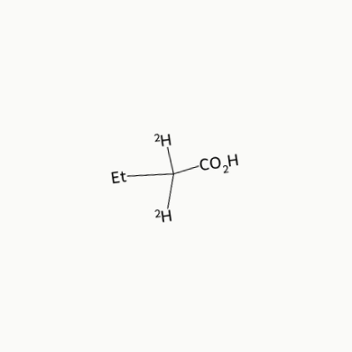 [2H]C([2H])(CC)C(=O)O